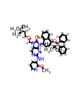 COc1ncccc1Nc1ncc2c(n1)n(C1CCC(O[Si](c3ccccc3)(c3ccccc3)C(C)(C)C)c3ccccc31)c(=O)n2COCC[Si](C)(C)C